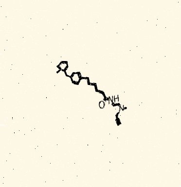 C#CCN(C)CCNC(=O)CCCCCc1ccc(Cc2ccccc2C)cc1